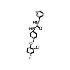 O=C(NCc1cccnc1)Nc1ccc(COc2ccc(F)cc2Cl)cc1